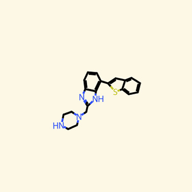 c1ccc2sc(-c3cccc4nc(CN5CCNCC5)[nH]c34)cc2c1